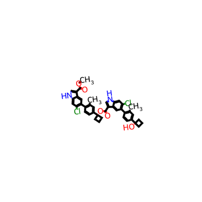 COC(=O)c1c[nH]c2cc(Cl)c(-c3ccc(C4(OC(=O)c5c[nH]c6cc(Cl)c(-c7ccc(C8(O)CCC8)cc7C)cc56)CCC4)cc3C)cc12